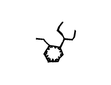 CC[C](CC)c1ccccc1CC